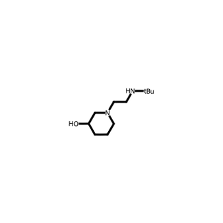 CC(C)(C)NCCN1CCCC(O)C1